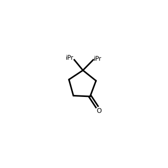 CC(C)C1(C(C)C)CCC(=O)C1